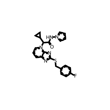 O=C(Nn1cccc1)C(C1CC1)n1cccc2nc(SCc3ccc(F)cc3)nc1-2